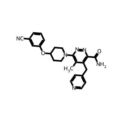 Cc1c(N2CCC(Oc3cccc(C#N)c3)CC2)nnc(C(N)=O)c1Cc1ccncc1